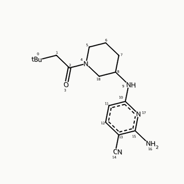 CC(C)(C)CC(=O)N1CCCC(Nc2ccc(C#N)c(N)n2)C1